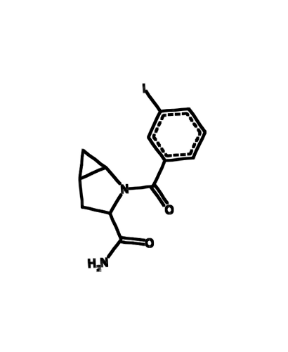 NC(=O)C1CC2CC2N1C(=O)c1cccc(I)c1